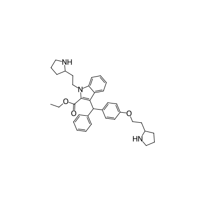 CCOC(=O)c1c(C(c2ccccc2)c2ccc(OCCC3CCCN3)cc2)c2ccccc2n1CCC1CCCN1